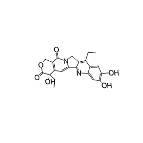 CCc1c2c(nc3cc(O)c(O)cc13)-c1cc3c(c(=O)n1C2)COC(=O)[C@]3(O)CC